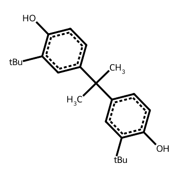 CC(C)(C)c1cc(C(C)(C)c2ccc(O)c(C(C)(C)C)c2)ccc1O